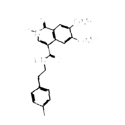 CCn1cc(C(=O)NCCc2ccc(C)cc2)c2cc(OC)c(OC)cc2c1=O